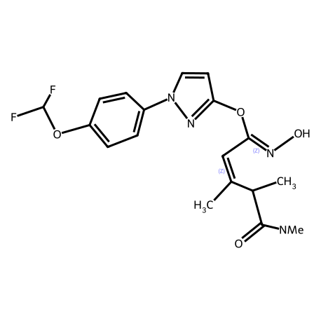 CNC(=O)C(C)/C(C)=C\C(=N\O)Oc1ccn(-c2ccc(OC(F)F)cc2)n1